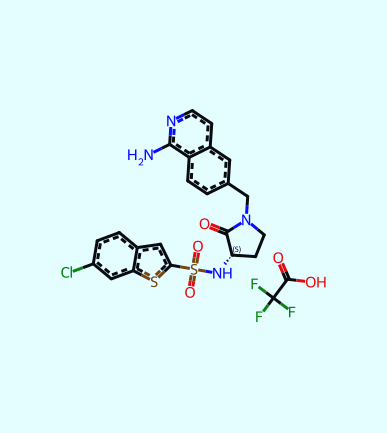 Nc1nccc2cc(CN3CC[C@H](NS(=O)(=O)c4cc5ccc(Cl)cc5s4)C3=O)ccc12.O=C(O)C(F)(F)F